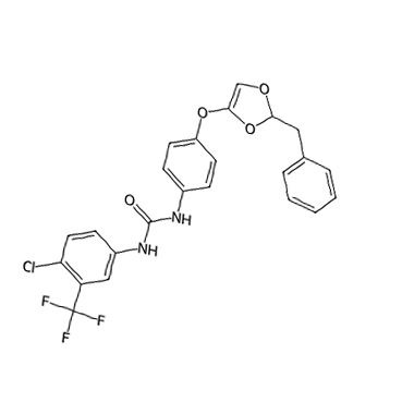 O=C(Nc1ccc(OC2=COC(Cc3ccccc3)O2)cc1)Nc1ccc(Cl)c(C(F)(F)F)c1